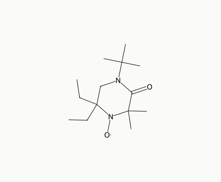 CCC1(CC)CN(C(C)(C)C)C(=O)C(C)(C)N1[O]